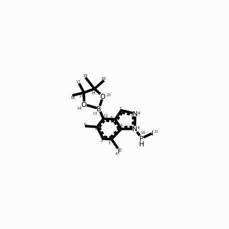 Cc1cc(F)c2c(cnn2PI)c1B1OC(C)(C)C(C)(C)O1